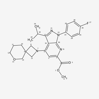 COC(=O)c1cc(N2CC3(CCCOC3)C2)c2c(C(C)C)nn(-c3ccc(F)cc3)c2n1